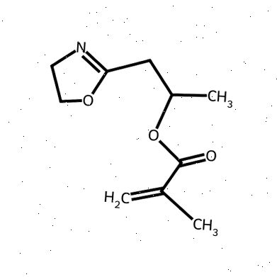 C=C(C)C(=O)OC(C)CC1=NCCO1